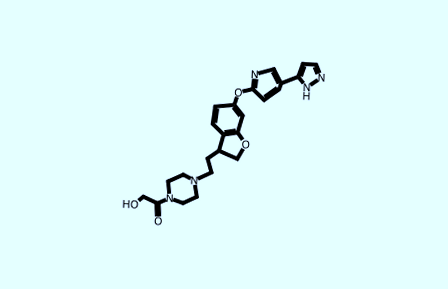 O=C(CO)N1CCN(CCC2COc3cc(Oc4ccc(-c5ccn[nH]5)cn4)ccc32)CC1